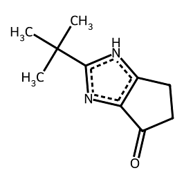 CC(C)(C)c1nc2c([nH]1)CCC2=O